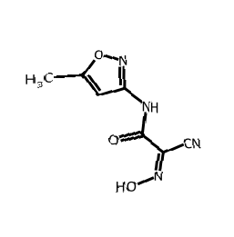 Cc1cc(NC(=O)/C(C#N)=N\O)no1